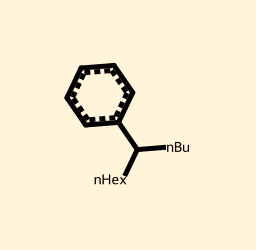 CCCCCC[C](CCCC)c1ccccc1